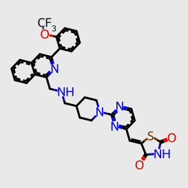 O=C1NC(=O)/C(=C/c2ccnc(N3CCC(CNCc4nc(-c5ccccc5OC(F)(F)F)cc5ccccc45)CC3)n2)S1